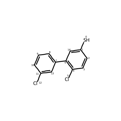 Sc1ccc(Cl)c(-c2cccc(Cl)c2)c1